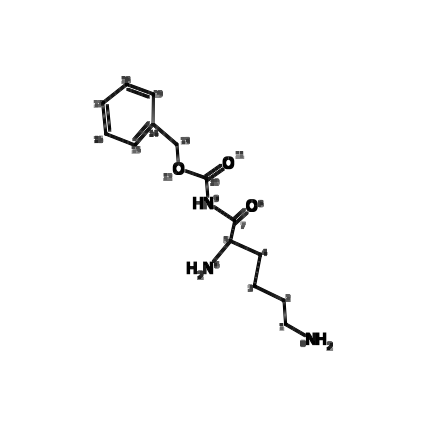 NCCCCC(N)C(=O)NC(=O)OCc1ccccc1